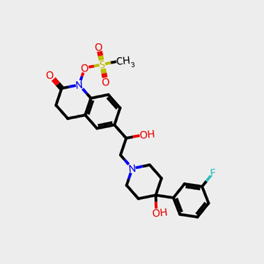 CS(=O)(=O)ON1C(=O)CCc2cc(C(O)CN3CCC(O)(c4cccc(F)c4)CC3)ccc21